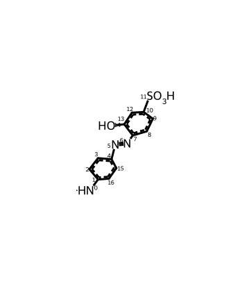 [NH]c1ccc(N=Nc2ccc(S(=O)(=O)O)cc2O)cc1